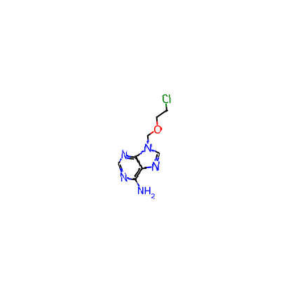 Nc1ncnc2c1ncn2COCCCl